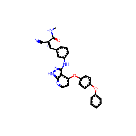 CNC(=O)/C(C#N)=C\c1cccc(Nc2n[nH]c3nccc(Oc4ccc(Oc5ccccc5)cc4)c23)c1